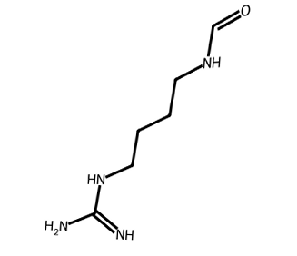 N=C(N)NCCCCNC=O